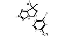 CC1(O)C[C@H](c2ccc(C#N)cc2F)n2cncc21